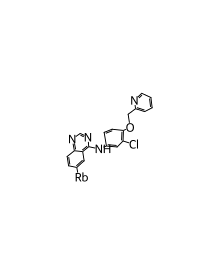 Clc1cc(Nc2ncnc3cc[c]([Rb])cc23)ccc1OCc1ccccn1